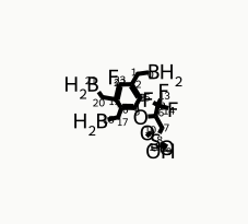 BCc1cc(OC(CS(=O)(=O)O)C(F)(F)F)c(CB)c(CB)c1F